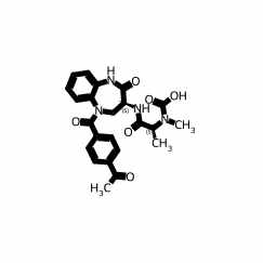 CC(=O)c1ccc(C(=O)N2C[C@H](NC(=O)[C@H](C)N(C)C(=O)O)C(=O)Nc3ccccc32)cc1